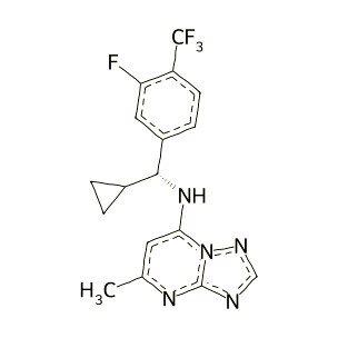 Cc1cc(N[C@@H](c2ccc(C(F)(F)F)c(F)c2)C2CC2)n2ncnc2n1